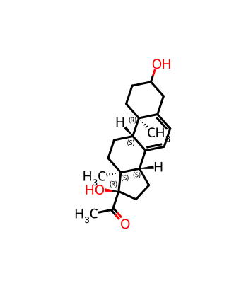 CC(=O)[C@@]1(O)CC[C@H]2C3=CC=C4CC(O)CC[C@]4(C)[C@H]3CC[C@@]21C